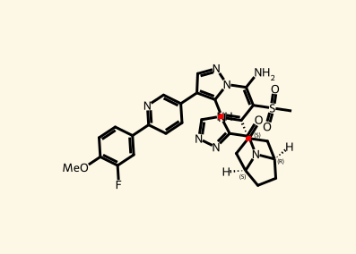 COc1ccc(-c2ccc(-c3cnn4c(N)c(S(C)(=O)=O)c([C@@H]5C[C@H]6CC[C@@H](C5)N6C(=O)c5nnc[nH]5)nc34)cn2)cc1F